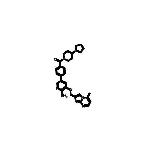 Cc1ccnc2nc(COc3cc(-c4ccc(C(=O)N5CCC(N6CCCC6)CC5)cc4)cnc3N)cn12